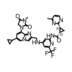 Cc1ccnc([C@H]2C[C@@H]2C(=O)Nc2cc(NCc3cn4cc(C5CC5)cc(N5CC(=O)N(C)C5=O)c4n3)cc(C(F)(F)F)n2)n1